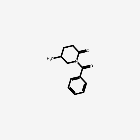 CC1CCC(=O)N(C(=O)c2ccccc2)C1